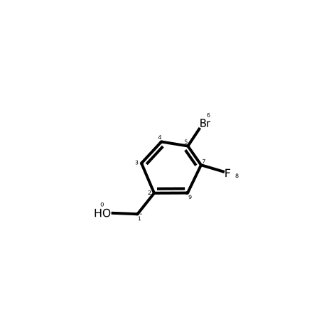 O[CH]c1ccc(Br)c(F)c1